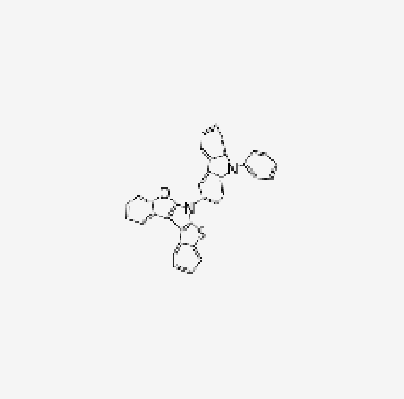 c1ccc(-n2c3ccccc3c3cc(-n4c5oc6ccccc6c5c5c6ccccc6sc54)ccc32)cc1